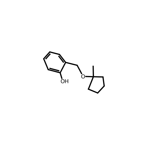 CC1(OCc2ccccc2O)CCCC1